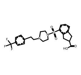 O=C(O)C1Cc2cccc(S(=O)(=O)N3CCN(CCc4ccc(C(F)(F)F)cc4)CC3)c2C1